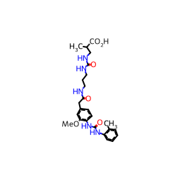 COc1cc(CC(=O)NCCCNC(=O)NCC(C)C(=O)O)ccc1NC(=O)Nc1ccccc1C